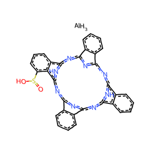 O=S(O)c1cccc2c3nc4nc(nc5[nH]c(nc6nc(nc([nH]3)c12)-c1ccccc1-6)c1ccccc51)-c1ccccc1-4.[AlH3]